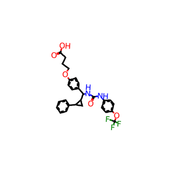 O=C(O)CCCOc1ccc(C(NC(=O)Nc2ccc(OC(F)(F)F)cc2)C2CC2c2ccccc2)cc1